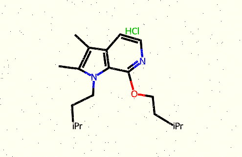 Cc1c(C)n(CCC(C)C)c2c(OCCC(C)C)nccc12.Cl